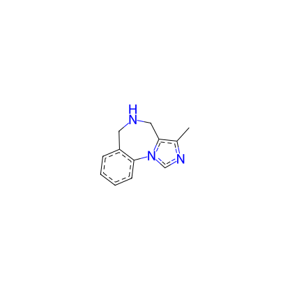 Cc1ncn2c1CNCc1ccccc1-2